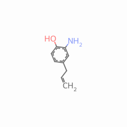 C=CCc1ccc(O)c(N)c1